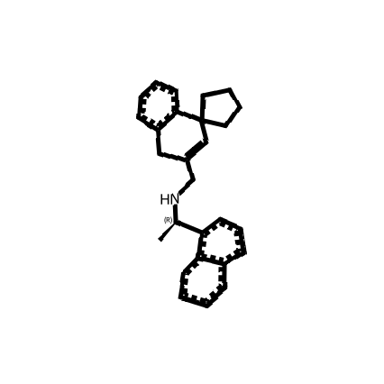 C[C@@H](NCC1=CC2(CCCC2)c2ccccc2C1)c1cccc2ccccc12